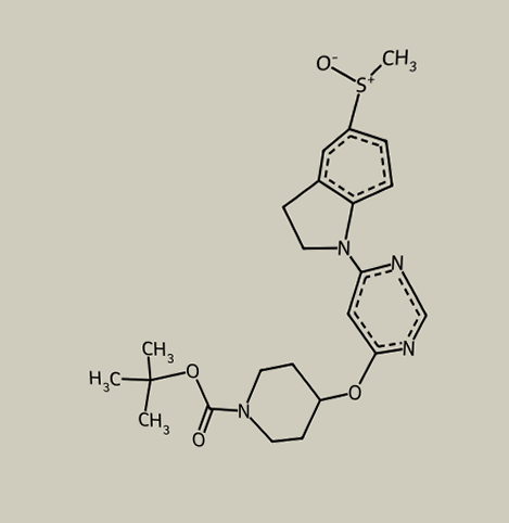 C[S+]([O-])c1ccc2c(c1)CCN2c1cc(OC2CCN(C(=O)OC(C)(C)C)CC2)ncn1